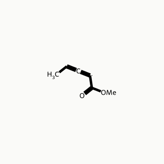 CC=C=[C]C(=O)OC